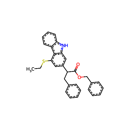 CCSc1cc(C(Cc2ccccc2)C(=O)OCc2ccccc2)cc2[nH]c3ccccc3c12